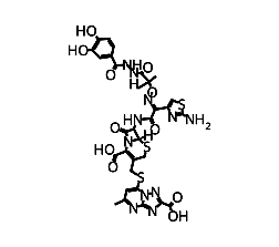 Cc1cc(SCC2=C(C(=O)O)N3C(=O)C(NC(=O)C(=NOC(C)(C)C(=O)NNC(=O)c4ccc(O)c(O)c4)c4csc(N)n4)[C@@H]3SC2)n2nc(C(=O)O)nc2n1